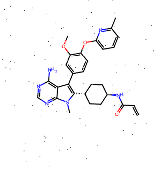 C=CC(=O)N[C@H]1CC[C@H](c2c(-c3ccc(Oc4cccc(C)n4)c(OC)c3)c3c(N)ncnc3n2C)CC1